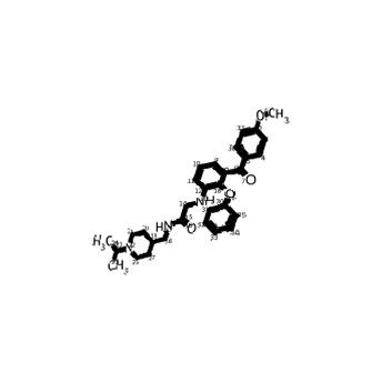 COc1ccc(C(=O)c2cccc(NCC(=O)NCC3CCN(C(C)C)CC3)c2Oc2ccccc2)cc1